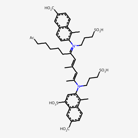 CC(=O)CCCCCC(/C=C(C)/C=C(\C)N(CCCS(=O)(=O)O)c1cc(S(=O)(=O)O)c2cc(C(=O)O)ccc2c1C)=[N+](/CCCS(=O)(=O)O)c1ccc2cc(C(=O)O)ccc2c1C